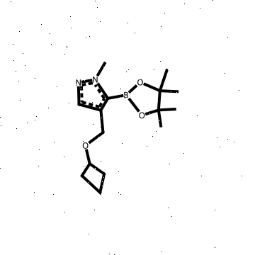 Cn1ncc(COC2CCC2)c1B1OC(C)(C)C(C)(C)O1